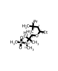 CCC(CC(C)(C)C(C)C)OCC(C)(C)N(C)S(C)(=O)=O